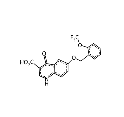 O=C(O)c1c[nH]c2ccc(OCc3ccccc3OC(F)(F)F)cc2c1=O